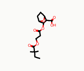 CCC(C)(C)C(=O)OCCC(=O)OC1C2CCC(O2)C1C(=O)O